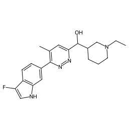 CCN1CCCC(C(O)c2cc(C)c(-c3ccc4c(F)c[nH]c4c3)nn2)C1